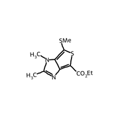 CCOC(=O)c1sc(SC)c2c1nc(C)n2C